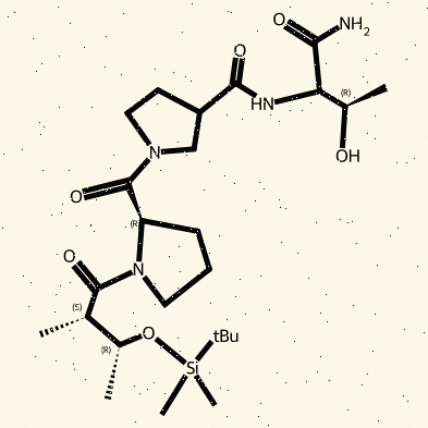 C[C@H](C(=O)N1CCC[C@@H]1C(=O)N1CCC(C(=O)NC(C(N)=O)[C@@H](C)O)C1)[C@@H](C)O[Si](C)(C)C(C)(C)C